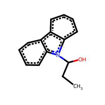 CCC(O)n1c2ccccc2c2ccccc21